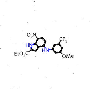 CCOC(=O)c1cc2c(Nc3cc(OC)cc(C(F)(F)F)c3)ccc([N+](=O)[O-])c2[nH]1